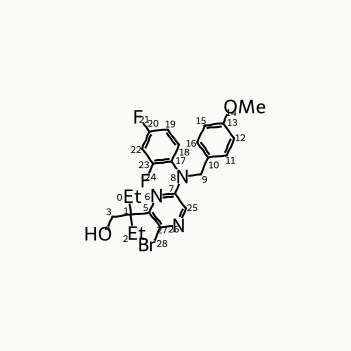 CCC(CC)(CO)c1nc(N(Cc2ccc(OC)cc2)c2ccc(F)cc2F)cnc1Br